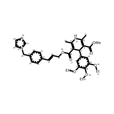 CCOc1cc(C2C(C(=O)OC)=C(C)NC(C)=C2C(=O)OC/C=C/c2ccc(Cn3ccnc3)cc2)cc(OCC)c1OCC